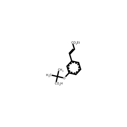 CCOC(=O)C=Cc1cccc(OC(C)(C)C(=O)O)c1